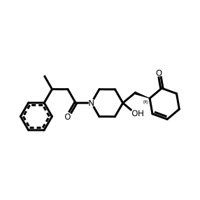 CC(CC(=O)N1CCC(O)(C[C@@H]2C=CCCC2=O)CC1)c1ccccc1